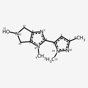 Cc1cc(-c2nc3c(n2C)CN(O)C3)n(C)n1